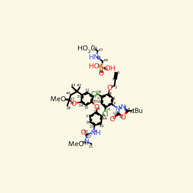 C#CCOc1cc(-n2nc(C(C)(C)C)oc2=O)c(Cl)cc1Cl.CON(C)C(=O)Nc1ccc(Oc2ccc3c(c2)OC(C)(OC)CC3(C)C)cc1.O=C(O)CNCP(=O)(O)O